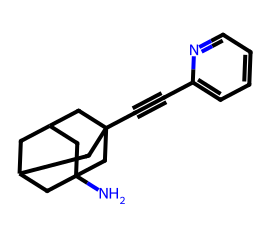 NC12CC3CC(C1)CC(C#Cc1ccccn1)(C3)C2